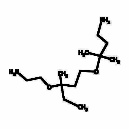 CCC(C)(CCOC(C)(C)CCN)OCCN